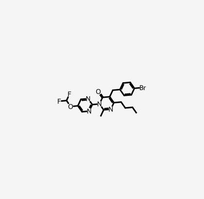 CCCCc1nc(C)n(-c2ncc(OC(F)F)cn2)c(=O)c1Cc1ccc(Br)cc1